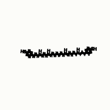 Sc1ccc(CCCNCCCCCNCCCCCCCNCCCNCCCc2ccc(S)cc2)cc1